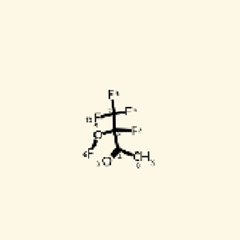 CC(=O)C(F)(OF)C(F)(F)F